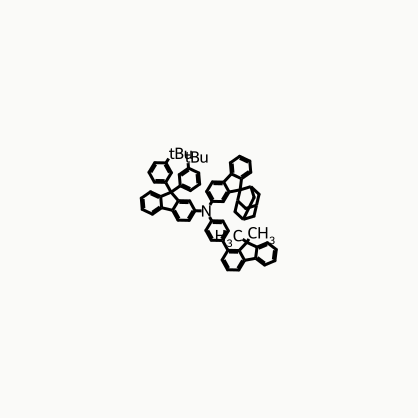 CC(C)(C)c1cccc(C2(c3cccc(C(C)(C)C)c3)c3ccccc3-c3ccc(N(c4ccc(-c5cccc6c5C(C)(C)c5ccccc5-6)cc4)c4ccc5c(c4)C4(c6ccccc6-5)C5CC6CC(C5)CC4C6)cc32)c1